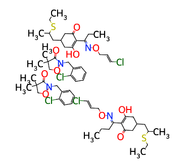 CC1(C)CON(Cc2ccccc2Cl)C1=O.CC1(C)CON(Cc2ccccc2Cl)C1=O.CCC/C(=N\OC/C=C/Cl)C1=C(O)CC(CC(C)SCC)CC1=O.CCSC(C)CC1CC(=O)C(/C(CC)=N/OC/C=C/Cl)=C(O)C1